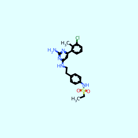 CCS(=O)(=O)Nc1ccc(CCNc2cc(-c3cccc(Cl)c3C)nc(N)n2)cc1